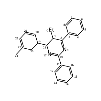 CCC1C(c2ccccc2)=NC(c2ccccc2)=NC1C1C=CC=C(C)C1